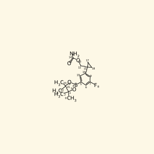 CC1(C)OB(c2cc(F)cc(C3(COC(N)=O)CC3)c2)OC1(C)C